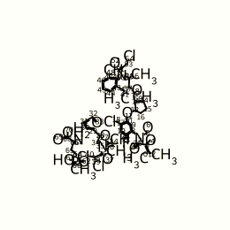 CC(C)=C1OC(=O)N(c2cc(OC3CCCC3)c(Cl)cc2F)C1=O.CC1(C)OC(c2ccco2)CN1C(=O)C(Cl)Cl.CCc1cccc(C)c1N(C(=O)CCl)C(C)COC.CP(=O)(O)CCC(N)C(=O)O